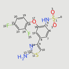 CS(=O)(=O)Nc1ccc(-c2csc(N)n2)cc1Oc1ccc(F)cc1F